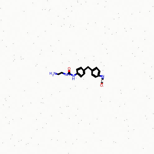 NCCNC(=O)Nc1ccc(Cc2ccc(N=C=O)cc2)cc1